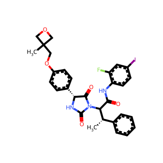 C[C@@H](c1ccccc1)C(C(=O)Nc1ccc(I)cc1F)N1C(=O)N[C@H](c2ccc(OCC3(C)COC3)cc2)C1=O